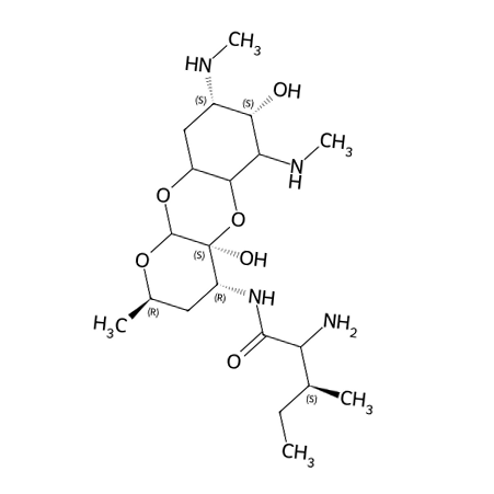 CC[C@H](C)C(N)C(=O)N[C@@H]1C[C@@H](C)OC2OC3C[C@H](NC)[C@H](O)C(NC)C3O[C@]21O